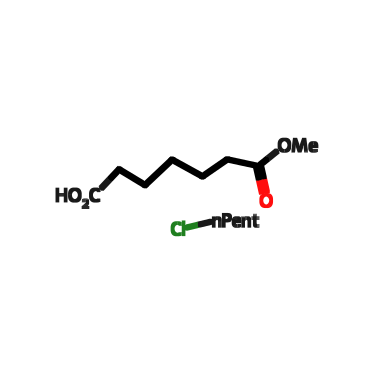 CCCCCCl.COC(=O)CCCCCC(=O)O